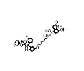 O=C(NC(c1cccc(F)c1)c1cccc(OCCCCCCNC[C@@H](O)c2ccc(O)c3[nH]c(=O)ccc23)c1)O[C@H]1CN2CCC1CC2